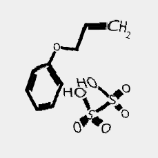 C=CCOc1ccccc1.O=S(=O)(O)S(=O)(=O)O